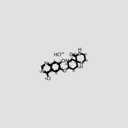 COc1cc2ncnc(Cl)c2cc1OC1CCC2(CC1)NCCNC2=O.Cl